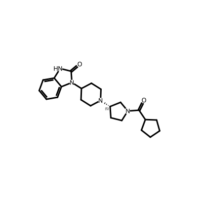 O=C(C1CCCC1)N1CC[C@H](N2CCC(n3c(=O)[nH]c4ccccc43)CC2)C1